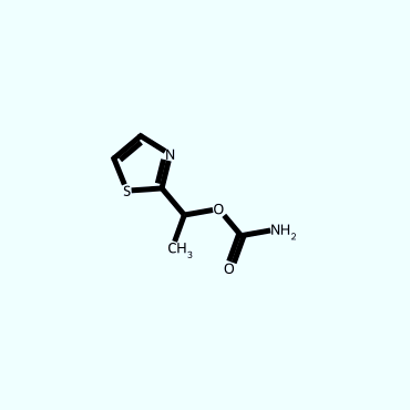 CC(OC(N)=O)c1nccs1